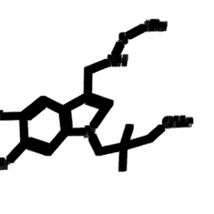 COCC(C)(C)Cn1cc(CNSC(C)(C)C)c2cc(F)c(Br)cc21